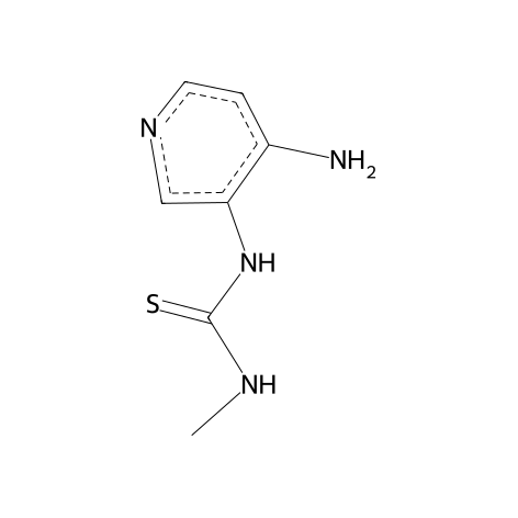 CNC(=S)Nc1cnccc1N